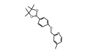 CC1(C)OB(c2ccc(OCc3cc(F)ccn3)cc2)OC1(C)C